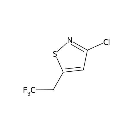 FC(F)(F)Cc1cc(Cl)ns1